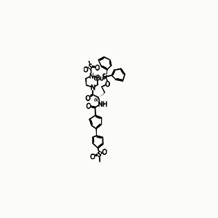 CC(C)(C)[Si](OCC[C@H](NC(=O)c1ccc(-c2ccc(S(C)(=O)=O)cc2)cc1)C(=O)N1CCN(S(C)(=O)=O)CC1)(c1ccccc1)c1ccccc1